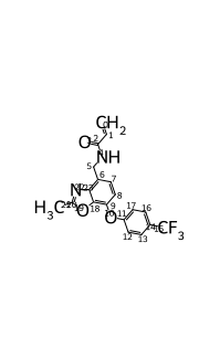 C=CC(=O)NCc1ccc(Oc2ccc(C(F)(F)F)cc2)c2oc(C)nc12